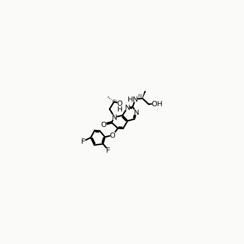 C[C@H](O)Cn1c(=O)c(Oc2ccc(F)cc2F)cc2cnc(N[C@@H](C)CO)nc21